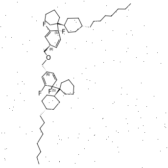 CCCCCCCC[C@H]1CC[C@H](C2([C@@]3(F)C=C[C@@H](COC[C@@H]4C=C[C@](F)(C5([C@H]6CC[C@H](CCCCCCCC)CC6)CCCCC5)C(F)=C4)C=C3F)CCCCC2)CC1